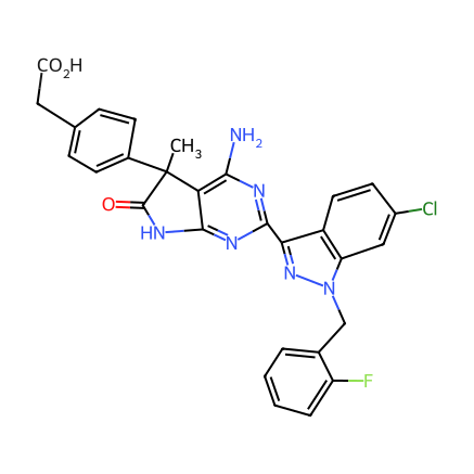 CC1(c2ccc(CC(=O)O)cc2)C(=O)Nc2nc(-c3nn(Cc4ccccc4F)c4cc(Cl)ccc34)nc(N)c21